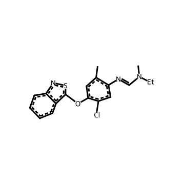 CCN(C)C=Nc1cc(Cl)c(Oc2snc3ccccc23)cc1C